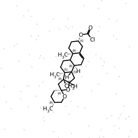 C[C@@H]1CC[C@@]2(C[C@@]3(C)[C@H](C[C@H]4[C@@H]5CC=C6C[C@@H](OC(=O)Cl)CC[C@]6(C)C5CC[C@@]43C)O2)OC1